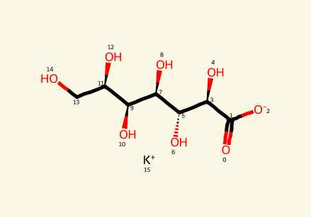 O=C([O-])[C@H](O)[C@H](O)[C@H](O)[C@@H](O)[C@H](O)CO.[K+]